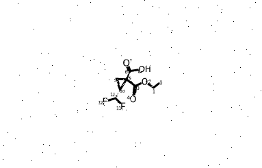 CCOC(=O)C1(C(=O)O)C[C@H]1C(F)F